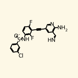 N=Cc1cc(C#Cc2c(F)ccc(N[S+]([O-])c3cccc(Cl)c3)c2F)cnc1N